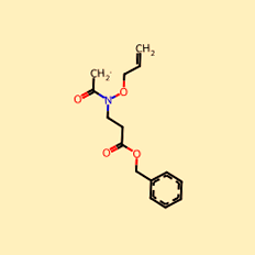 [CH2]C(=O)N(CCC(=O)OCc1ccccc1)OCC=C